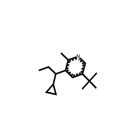 CCC(c1cc(C(C)(C)C)cnc1C)C1CC1